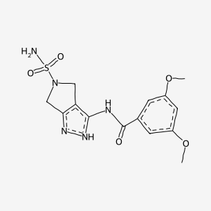 COc1cc(OC)cc(C(=O)Nc2[nH]nc3c2CN(S(N)(=O)=O)C3)c1